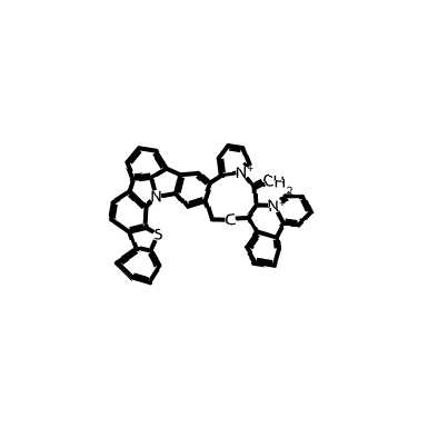 C=C1C2C(CCc3cc4c(cc3-c3cccc[n+]31)c1cccc3c5ccc6c7ccccc7sc6c5n4c13)c1ccccc1-c1cccc[n+]12